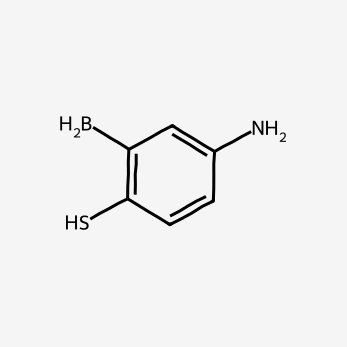 Bc1cc(N)ccc1S